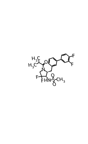 CC(C)C(=O)N1CC(F)(F)[C@H](NS(C)(=O)=O)[C@@H]1Cc1cccc(-c2ccc(F)c(F)c2)c1